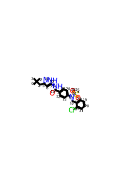 CC(C)(C)Cc1cc(NC(=O)c2ccc(N(Cc3ccccc3Cl)S(C)(=O)=O)cc2)[nH]n1